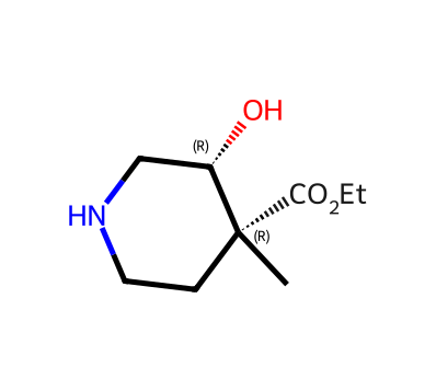 CCOC(=O)[C@]1(C)CCNC[C@@H]1O